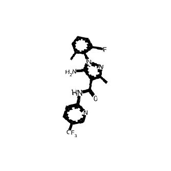 Cc1cccc(F)c1-n1nc(C)c(C(=O)Nc2ccc(C(F)(F)F)cn2)c1N